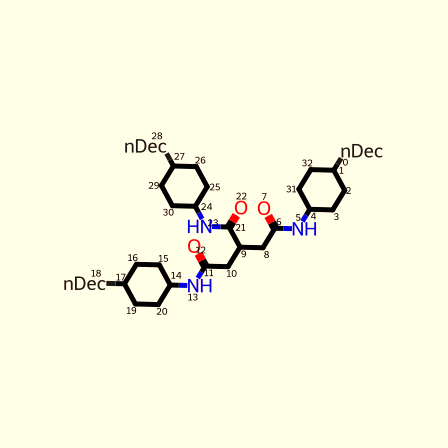 CCCCCCCCCCC1CCC(NC(=O)CC(CC(=O)NC2CCC(CCCCCCCCCC)CC2)C(=O)NC2CCC(CCCCCCCCCC)CC2)CC1